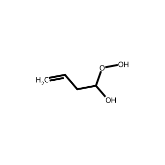 C=CCC(O)OO